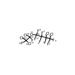 FC(F)(Cl)C(F)(Cl)C(F)(F)C(F)(F)OC(F)(Cl)C(F)(Cl)Cl